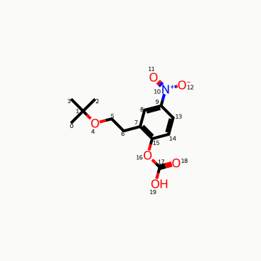 CC(C)(C)OCCc1cc([N+](=O)[O-])ccc1OC(=O)O